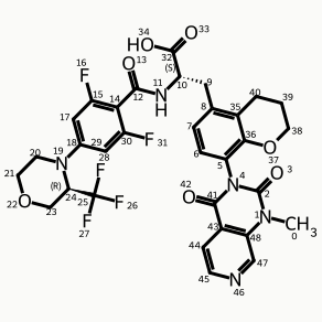 Cn1c(=O)n(-c2ccc(C[C@H](NC(=O)c3c(F)cc(N4CCOC[C@@H]4C(F)(F)F)cc3F)C(=O)O)c3c2OCCC3)c(=O)c2ccncc21